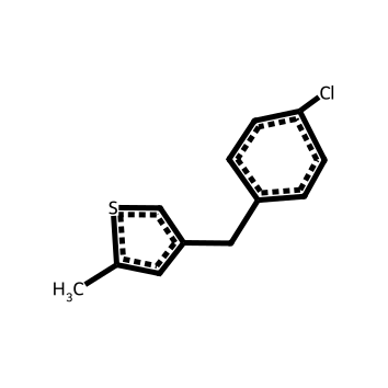 Cc1cc(Cc2ccc(Cl)cc2)cs1